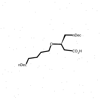 CCCCCCCCCCCCCCO[C@@H](CCCCCCCCCCC)CC(=O)O